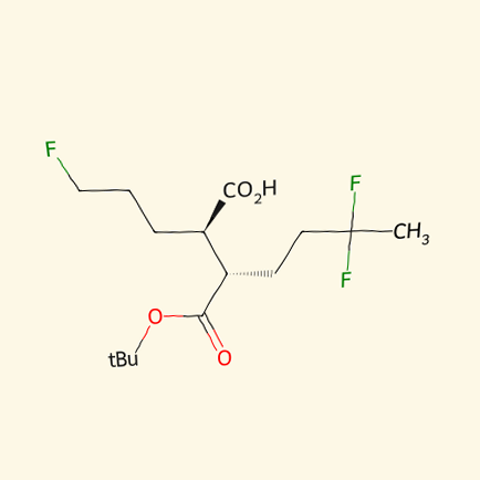 CC(F)(F)CC[C@H](C(=O)OC(C)(C)C)[C@@H](CCCF)C(=O)O